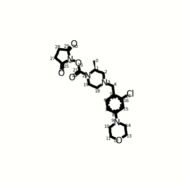 C[C@H]1CN(Cc2ccc(N3CCOCC3)cc2Cl)CCN1C(=O)ON1C(=O)CCC1=O